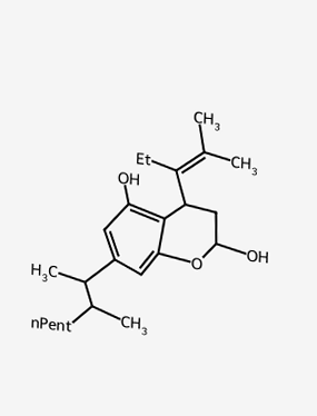 CCCCCC(C)C(C)c1cc(O)c2c(c1)OC(O)CC2C(CC)=C(C)C